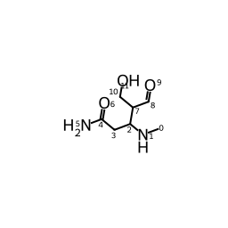 CNC(CC(N)=O)C(C=O)CO